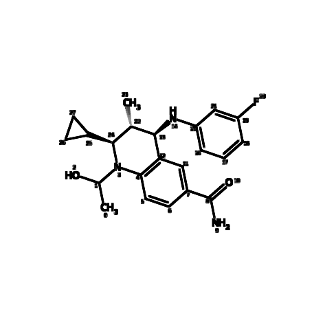 CC(O)N1c2ccc(C(N)=O)cc2[C@H](Nc2cccc(F)c2)[C@@H](C)[C@@H]1C1CC1